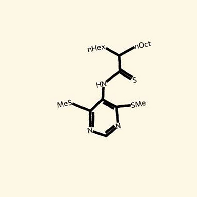 CCCCCCCCC(CCCCCC)C(=S)Nc1c(SC)ncnc1SC